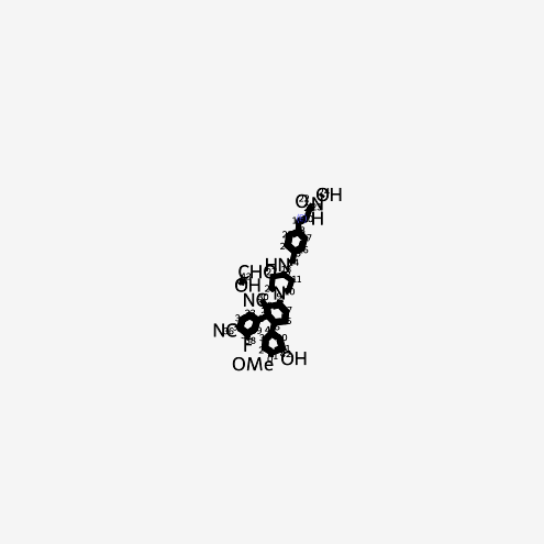 COc1ccc(-c2ccc(N3CCC(NCc4ccc(/C=C/C(=O)NO)cc4)CC3)c(C#N)c2-c2ccc(C#N)c(F)c2)cc1O.O=CO